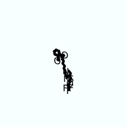 O=C1c2ccccc2C(=O)N1CCCCN1CCc2sc(OCC(F)(F)F)nc2C1